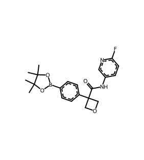 CC1(C)OB(c2ccc(C3(C(=O)Nc4ccc(F)nc4)COC3)cc2)OC1(C)C